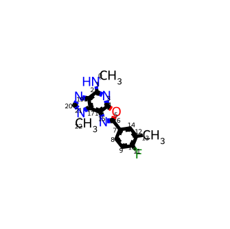 CNc1nc2oc(-c3ccc(F)c(C)c3)nc2c2c1ncn2C